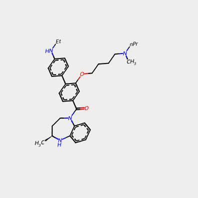 CCCN(C)CCCCOc1cc(C(=O)N2CC[C@H](C)Nc3ccccc32)ccc1-c1ccc(NCC)cc1